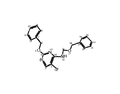 Fc1cnc(OCc2ccccc2)nc1NCOCc1ccccc1